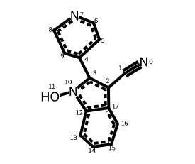 N#Cc1c(-c2ccncc2)n(O)c2ccccc12